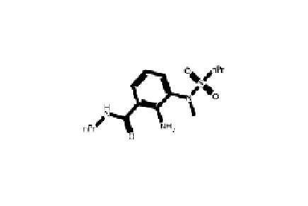 CCCNC(=O)c1cccc(N(C)S(=O)(=O)CCC)c1N